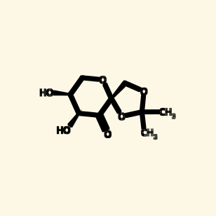 CC1(C)OC[C@@]2(OC[C@H](O)[C@H](O)C2=O)O1